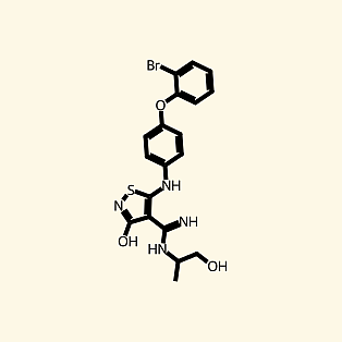 CC(CO)NC(=N)c1c(O)nsc1Nc1ccc(Oc2ccccc2Br)cc1